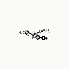 CCCOCCn1c(=O)c(NCc2cnc(C)cn2)nc2ncc(-c3ccc(F)cc3)cc21